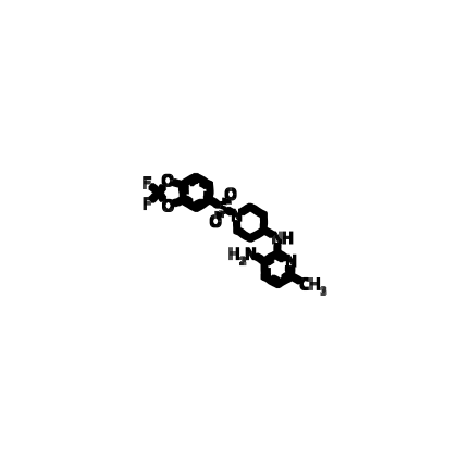 Cc1ccc(N)c(NC2CCN(S(=O)(=O)c3ccc4c(c3)OC(F)(F)O4)CC2)n1